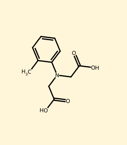 Cc1ccccc1N(CC(=O)O)CC(=O)O